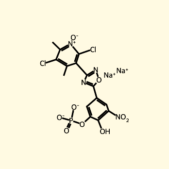 Cc1c(Cl)c(C)[n+]([O-])c(Cl)c1-c1noc(-c2cc(OP(=O)([O-])[O-])c(O)c([N+](=O)[O-])c2)n1.[Na+].[Na+]